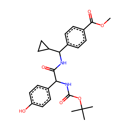 COC(=O)c1ccc(C(NC(=O)C(NC(=O)OC(C)(C)C)c2ccc(O)cc2)C2CC2)cc1